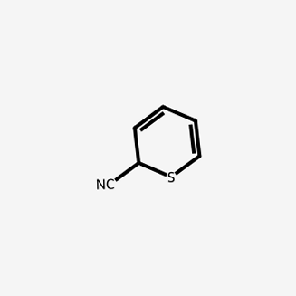 N#CC1C=CC=CS1